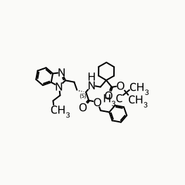 CCCn1c(CC[C@H](NCC2(C(=O)OC(C)(C)C)CCCCC2)C(=O)OCc2ccccc2)nc2ccccc21